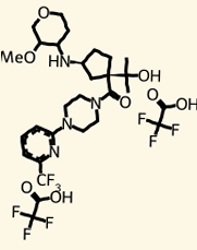 COC1COCCC1N[C@H]1CC[C@@](C(=O)N2CCN(c3cccc(C(F)(F)F)n3)CC2)(C(C)(C)O)C1.O=C(O)C(F)(F)F.O=C(O)C(F)(F)F